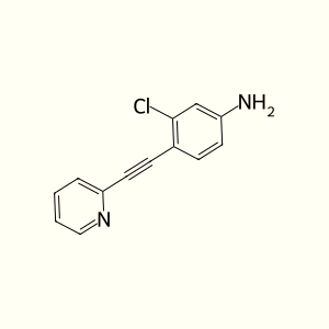 Nc1ccc(C#Cc2ccccn2)c(Cl)c1